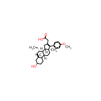 CC[C@H]1C=C2C[C@H](O)CC[C@]2(C)[C@H]2CC[C@]3(C)C(c4ccc(OC)cc4)=C(CC(=O)O)C[C@H]3[C@H]12